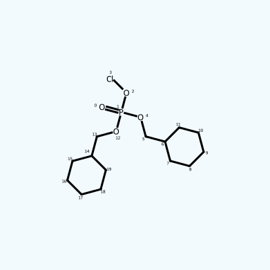 O=P(OCl)(OCC1CCCCC1)OCC1CCCCC1